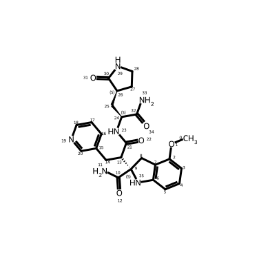 COc1cccc2c1C[C@@](C(N)=O)(C(Cc1cccnc1)C(=O)N[C@@H](C[C@@H]1CCNC1=O)C(N)=O)N2